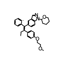 CC/C(=C(\c1[c]cccc1)c1ccc2c(cnn2C2CCCCO2)c1)c1ccc(OCCOC)cc1